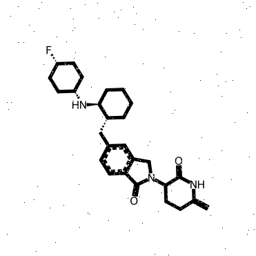 C=C1CCC(N2Cc3cc(C[C@H]4CCCC[C@@H]4N[C@H]4CC[C@@H](F)CC4)ccc3C2=O)C(=O)N1